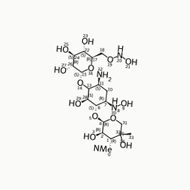 CN[C@@H]1[C@@H](O)[C@@H](O[C@H]2[C@H](NO)C[C@H](N)C(O[C@H]3O[C@H](CONO)[C@@H](O)[C@H](O)[C@H]3O)[C@@H]2O)OC[C@]1(C)O